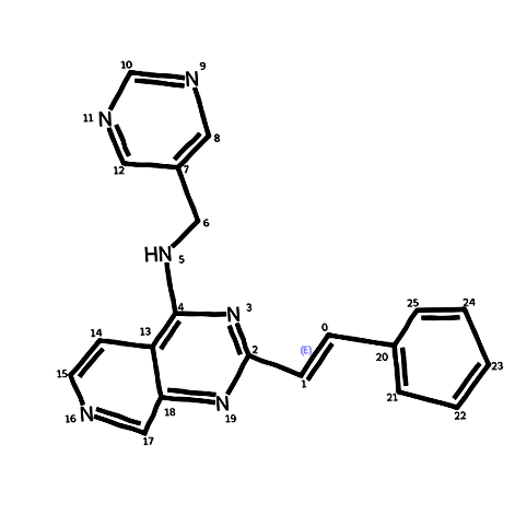 C(=C\c1nc(NCc2cncnc2)c2ccncc2n1)/c1ccccc1